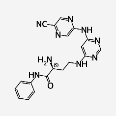 N#Cc1cnc(Nc2cc(NCC[C@H](N)C(=O)Nc3ccccc3)ncn2)cn1